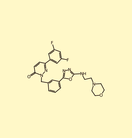 O=c1ccc(-c2cc(F)cc(F)c2)nn1Cc1cccc(-c2nnc(NCCN3CCOCC3)o2)c1